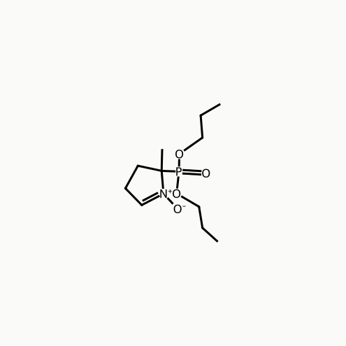 CCCOP(=O)(OCCC)C1(C)CCC=[N+]1[O-]